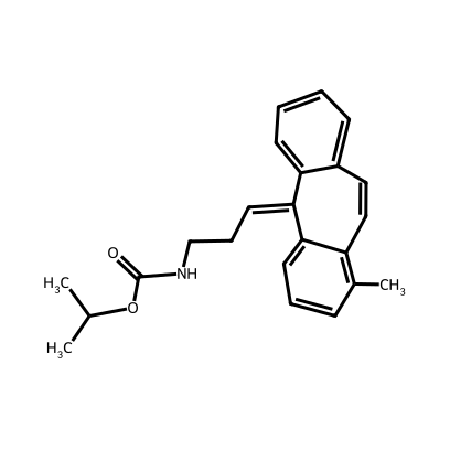 Cc1cccc2c1C=Cc1ccccc1/C2=C/CCNC(=O)OC(C)C